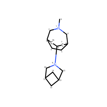 CN1CC2CCC(CC(N3CC4CC(C4)C3)C2)C1